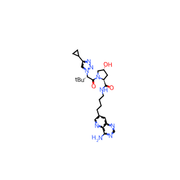 CC(C)(C)[C@@H](C(=O)N1C[C@H](O)C[C@H]1C(=O)NCCCCc1cnc2c(N)ncnc2c1)n1cc(C2CC2)nn1